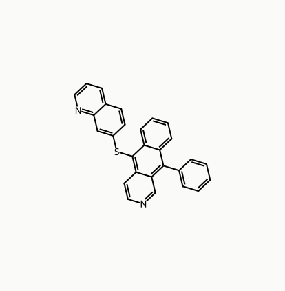 c1ccc(-c2c3ccccc3c(Sc3ccc4cccnc4c3)c3ccncc23)cc1